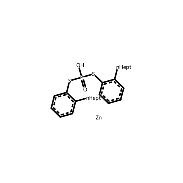 CCCCCCCc1ccccc1SP(=O)(O)Sc1ccccc1CCCCCCC.[Zn]